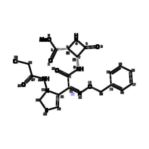 COC(=O)[C@@H]1NC(=O)[C@@H]1NC(=O)/C(=N\OCc1ccccc1)C1=CSCN1NC(=O)CCl